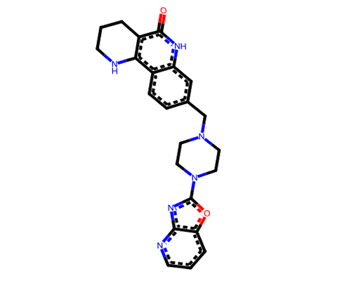 O=c1[nH]c2cc(CN3CCN(c4nc5ncccc5o4)CC3)ccc2c2c1CCCN2